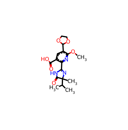 COc1nc(C2=NC(C)(C(C)C)C(=O)N2)c(C(=O)O)cc1C1OCCO1